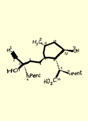 C#C[C@@](O)(CCCCC)CC[C@@H]1[C@@H]([C@@H](CCCCC)C(=O)O)[C@H](O)C[C@H]1C